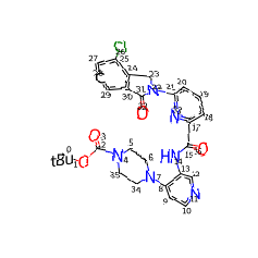 CC(C)(C)OC(=O)N1CCN(c2ccncc2NC(=O)c2cccc(N3Cc4c(Cl)cccc4C3=O)n2)CC1